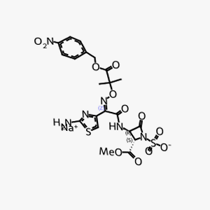 COC(=O)[C@@H]1[C@@H](NC(=O)/C(=N\OC(C)(C)C(=O)OCc2ccc([N+](=O)[O-])cc2)c2csc(N)n2)C(=O)N1S(=O)(=O)[O-].[Na+]